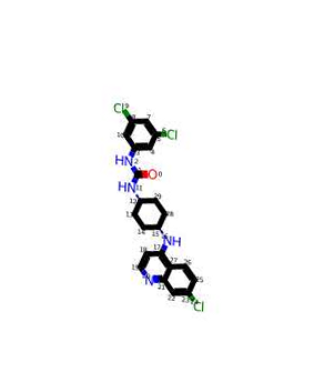 O=C(Nc1cc(Cl)cc(Cl)c1)N[C@H]1CC[C@@H](Nc2ccnc3cc(Cl)ccc23)CC1